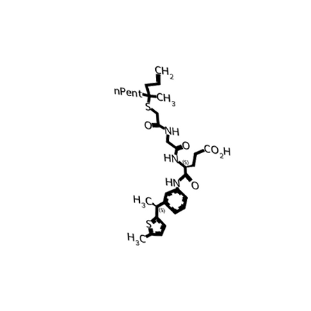 C=CCC(C)(CCCCC)SCC(=O)NCC(=O)N[C@@H](CCC(=O)O)C(=O)Nc1cccc([C@H](C)c2ccc(C)s2)c1